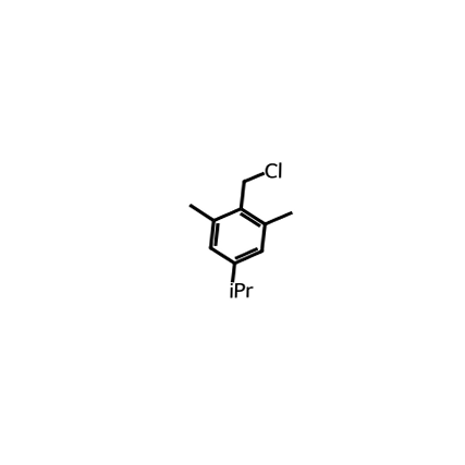 Cc1cc(C(C)C)cc(C)c1CCl